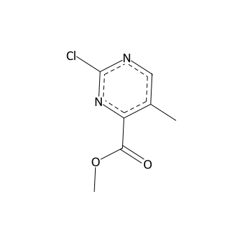 COC(=O)c1nc(Cl)ncc1C